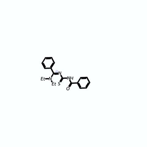 CCN(CC)/C(=N\C(=S)NC(=O)c1ccccc1)c1ccccc1